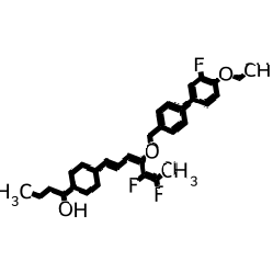 CCCC(O)C1CCC(/C=C/C=C(OCc2ccc(-c3ccc(OCC)c(F)c3)cc2)\C(F)=C(/C)F)CC1